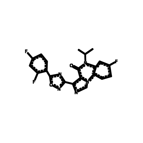 CC(C)n1c(=O)c2c(-c3noc(-c4ccc(F)cc4F)n3)ncn2c2ccc(F)cc21